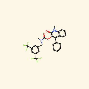 CN(Cc1cc(C(F)(F)F)cc(C(F)(F)F)c1)C(=O)Oc1c(-c2ccccc2)c2ccccc2n(C)c1=O